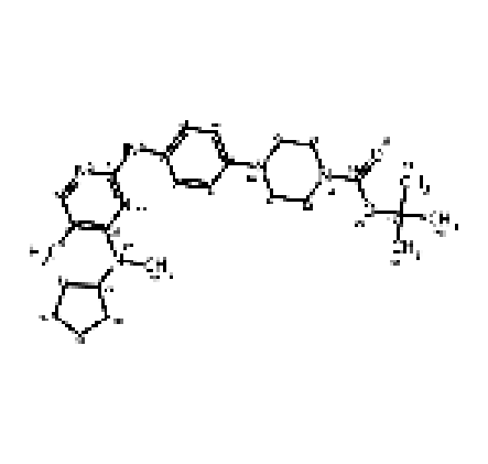 Cc1cnc(Nc2ccc(N3CCN(C(=O)OC(C)(C)C)CC3)cc2)nc1N(C)C1CCCC1